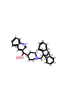 OC(c1cnc2ccccc2c1)C1CCN(CC23CC(c4ccccc42)c2ccccc23)CC1